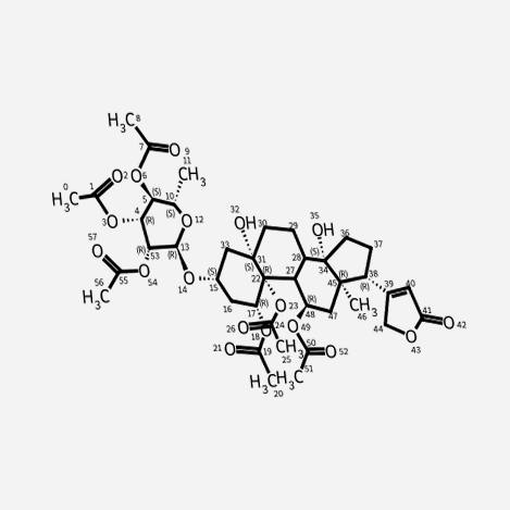 CC(=O)O[C@@H]1[C@@H](OC(C)=O)[C@H](C)O[C@@H](O[C@H]2C[C@@H](OC(C)=O)[C@]3(OC(C)=O)C4C(CC[C@]3(O)C2)[C@@]2(O)CC[C@H](C3=CC(=O)OC3)[C@@]2(C)C[C@H]4OC(C)=O)[C@@H]1OC(C)=O